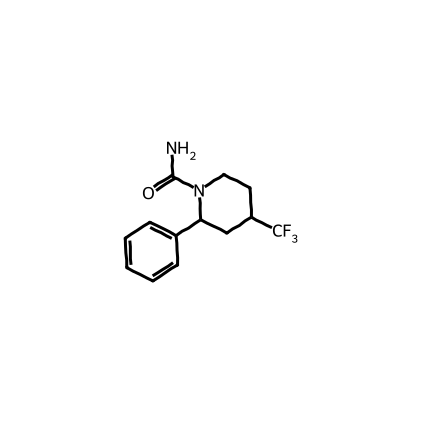 NC(=O)N1CCC(C(F)(F)F)CC1c1ccccc1